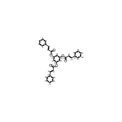 O=C(/C=C/c1ccccc1)Oc1cc(OC(=O)/C=C/c2ccccc2)cc(OC(=O)/C=C/c2ccccc2)c1